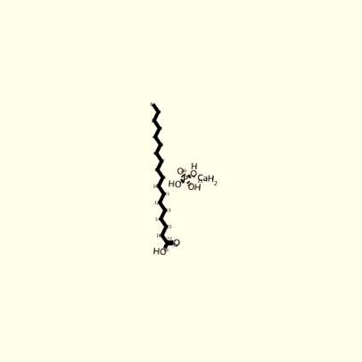 CCCCCCCCCCCCCCCCCC(=O)O.O=P(O)(O)O.[CaH2]